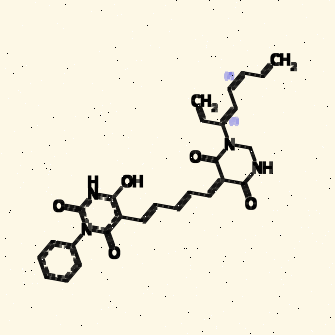 C=C/C=C\C=C(/C=C)N1CNC(=O)C(=CC=CC=Cc2c(O)[nH]c(=O)n(-c3ccccc3)c2=O)C1=O